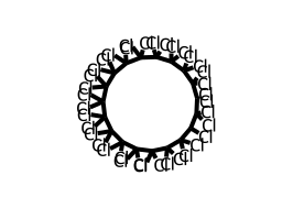 ClC1C(Cl)(Cl)C(Cl)(Cl)C(Cl)(Cl)C(Cl)(Cl)C(Cl)(Cl)C(Cl)(Cl)C(Cl)(Cl)C(Cl)(Cl)C(Cl)(Cl)C(Cl)(Cl)C(Cl)(Cl)C(Cl)(Cl)C(Cl)(Cl)C(Cl)(Cl)C(Cl)(Cl)C(Cl)(Cl)C(Cl)(Cl)C1(Cl)Cl